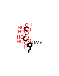 C=CCc1ccc(O[C@@H]2O[C@H](CO[C@@H]3OC[C@@H](O)[C@H](O)[C@H]3O)[C@@H](O)[C@H](O)[C@H]2O)c(OC)c1